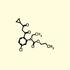 CCCOC(=O)N(CC)c1cc(Cl)ccc1C(=O)CC(=O)C1CC1